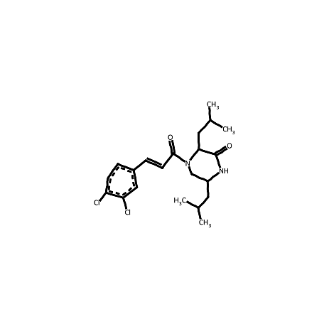 CC(C)CC1CN(C(=O)C=Cc2ccc(Cl)c(Cl)c2)C(CC(C)C)C(=O)N1